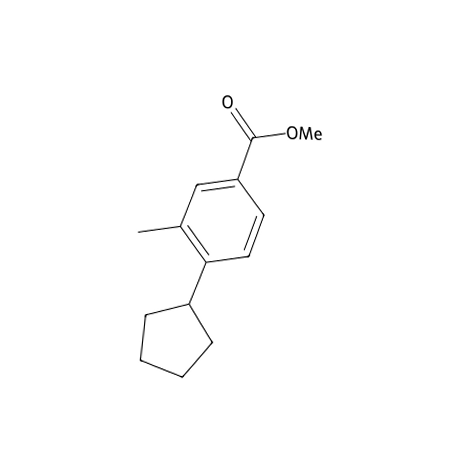 COC(=O)c1ccc(C2CCCC2)c(C)c1